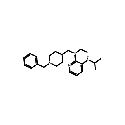 CCN(CC1CCN(Cc2ccccc2)CC1)c1ncccc1NC(C)C